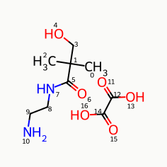 CC(C)(CO)C(=O)NCCN.O=C(O)C(=O)O